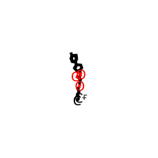 [CH2+][CH-]CCCOCCC(=O)OC1CC=C(c2ccc(C)cc2)CC1